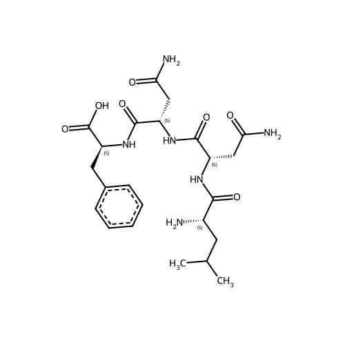 CC(C)C[C@H](N)C(=O)N[C@@H](CC(N)=O)C(=O)N[C@@H](CC(N)=O)C(=O)N[C@@H](Cc1ccccc1)C(=O)O